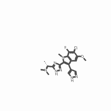 COc1cc2c(-c3cn[nH]c3)c(-c3n[nH]c([C@@H](C)N(C)C)n3)n(C)c2c(F)c1Cl